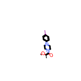 CO[C@H](C)C(=O)N1CCN(c2ccc(I)cc2)CC1